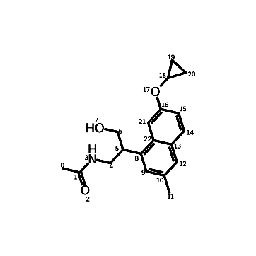 CC(=O)NCC(CO)c1cc(C)cc2ccc(OC3CC3)cc12